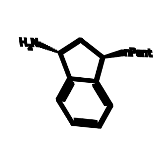 CCCCC[C@@H]1C[C@@H](N)c2ccccc21